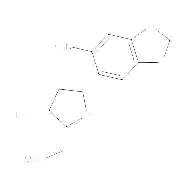 COC[C@H]1O[C@@H](c2cc3c(cc2[N+](=O)[O-])OCO3)C[C@H]1O